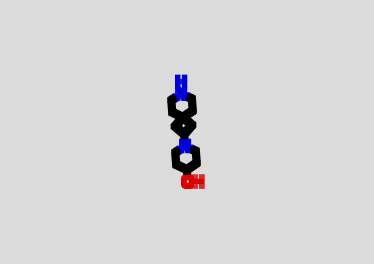 OC1CCN(C2CC3(CCNCC3)C2)CC1